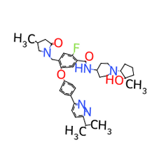 CC(C)c1ccc(-c2ccc(Oc3cc(C(=O)NC4CCN([C@@H]5CCC[C@@]5(C)O)CC4)c(F)cc3CN3C[C@@H](C)CC3=O)cc2)nn1